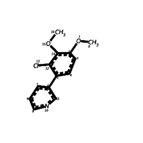 COc1ccc(-c2cccnc2)c(Cl)c1OC